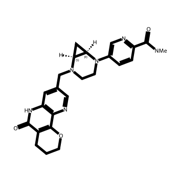 CNC(=O)c1ccc(N2CCN(Cc3cnc4c5c(c(=O)[nH]c4c3)CCCO5)[C@H]3C[C@H]32)cn1